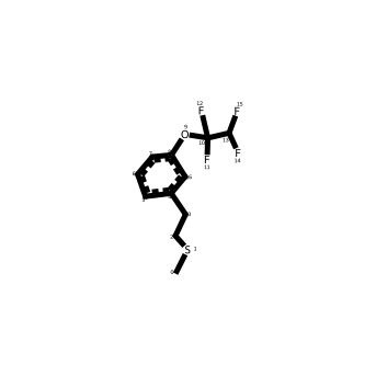 CSCCc1cccc(OC(F)(F)C(F)F)c1